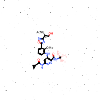 BC(B)(B)NC(=O)c1nnc(NC(=O)C2CC2)cc1Nc1cccc(-c2nc([C@H](CO)NC(C)=O)no2)c1OC